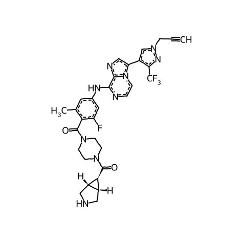 C#CCn1cc(-c2cnc3c(Nc4cc(C)c(C(=O)N5CCN(C(=O)[C@H]6[C@@H]7CNC[C@@H]76)CC5)c(F)c4)nccn23)c(C(F)(F)F)n1